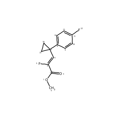 COC(=O)C(F)=CC1(c2ccc(F)cc2)CC1